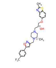 Cc1nc2cc(OC[C@H](O)CN3CCN(Cc4cc(-c5ccc(C(F)(F)F)cc5)on4)[C@@H](C)C3)ccc2s1